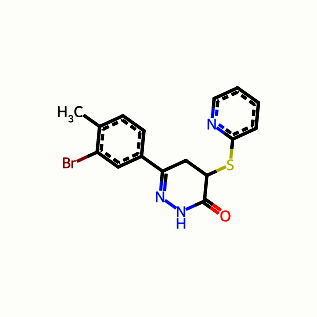 Cc1ccc(C2=NNC(=O)C(Sc3ccccn3)C2)cc1Br